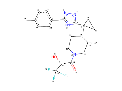 Cc1ccc(-c2nnc(C3([C@H]4CCN(C(=O)[C@@H](O)C(F)(F)F)C[C@H]4C)CC3)[nH]2)cc1